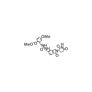 COCOc1ccc(OC)cc1CNC(=O)NCc1ccc2c(c1)CN(C1CCC(=O)NC1=O)C2=O